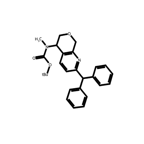 CN(C(=O)OC(C)(C)C)C1COCc2nc(C(c3ccccc3)c3ccccc3)ccc21